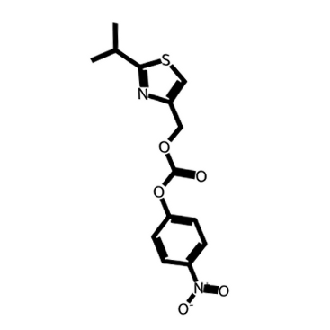 CC(C)c1nc(COC(=O)Oc2ccc([N+](=O)[O-])cc2)cs1